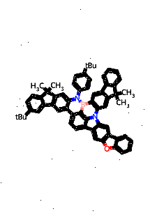 CC(C)(C)c1ccc(N2B3c4cc5c(cc4-n4c6cc7c(cc6c6ccc(c3c64)-c3cc4c(cc32)C(C)(C)c2ccc(C(C)(C)C)cc2-4)oc2ccccc27)C(C)(C)c2ccccc2-5)cc1